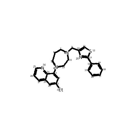 CCc1cc(N2CCCN(Cc3csc(-c4ccccc4)n3)CC2)c2ncccc2c1